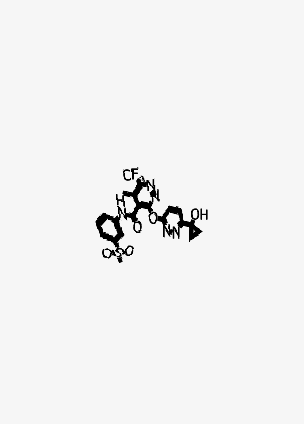 Cc1c(C(F)(F)F)nnc(Oc2ccc(C3(O)CC3)nn2)c1C(=O)Nc1cccc(S(C)(=O)=O)c1